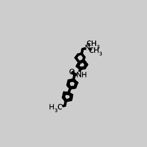 CCc1ccc(-c2ccc(C(=O)Nc3ccc4c(c3)CCC(CN(C)C)C4)cc2)cc1